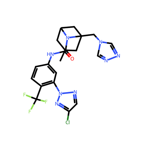 CC1CC2CC(Cn3cnnc3)(C1)N2C(=O)Nc1ccc(C(F)(F)F)c(-n2ncc(Cl)n2)c1